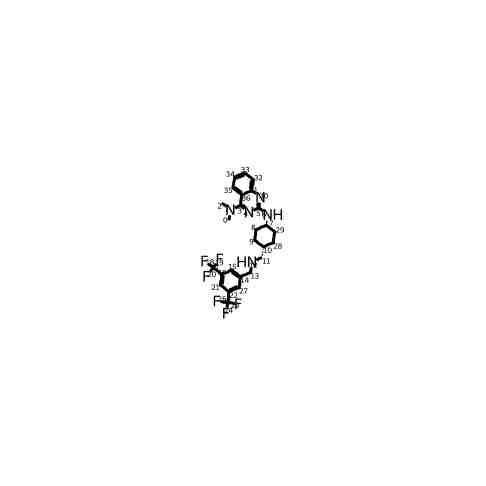 CN(C)c1nc(N[C@H]2CC[C@@H](CNCc3cc(C(F)(F)F)cc(C(F)(F)F)c3)CC2)nc2ccccc12